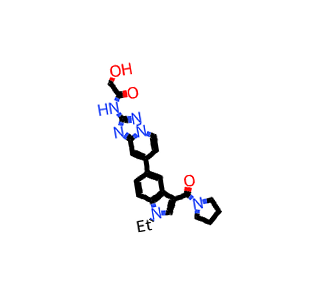 CCn1cc(C(=O)N2CCCC2)c2cc(-c3ccn4nc(NC(=O)CO)nc4c3)ccc21